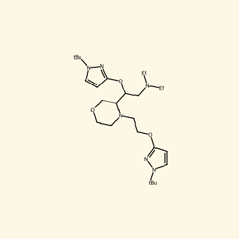 CCN(CC)CC(Oc1ccn(C(C)(C)C)n1)C1COCCN1CCOc1ccn(C(C)(C)C)n1